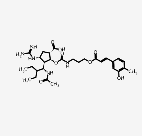 CCC(CC)[C@H](NC(C)=O)[C@@H]1[C@H](OC(=O)NCCCOC(=O)/C=C/c2ccc(C)c(O)c2)[C@@H](C(=O)O)C[C@H]1NC(=N)N